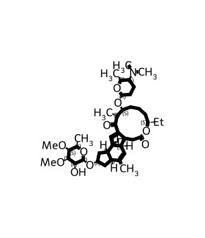 CC[C@H]1CCC[C@H](O[C@H]2CC[C@H](N(C)C)[C@@H](C)O2)[C@@H](C)C(=O)C2=C[C@@H]3[C@H](C=C(C)[C@H]4C[C@H](O[C@@H]5O[C@@H](C)[C@H](OC)[C@@H](OC)[C@H]5O)C[C@H]34)[C@@H]2CC(=O)O1